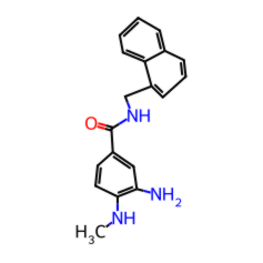 CNc1ccc(C(=O)NCc2cccc3ccccc23)cc1N